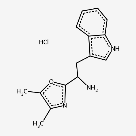 Cc1nc(C(N)Cc2c[nH]c3ccccc23)oc1C.Cl